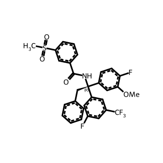 COc1cc([C@@](Cc2ccccc2)(NC(=O)c2cccc(S(C)(=O)=O)c2)c2cc(F)cc(C(F)(F)F)c2)ccc1F